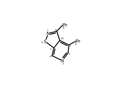 CC(C)c1cncc2snc(C(C)C)c12